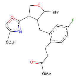 CCCC1OCC(c2nc(C(=O)O)co2)C1Cc1cc(F)ccc1CCC(=O)OC